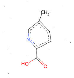 [CH2]c1ccc(C(=O)O)nc1